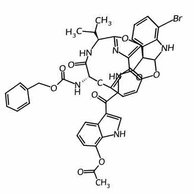 CC(=O)Oc1cccc2c(C(=O)CNC(=O)c3nc4oc3C35c6cc(ccc6OC3Nc3c(Br)cccc35)C[C@H](NC(=O)OCc3ccccc3)C(=O)N[C@H]4C(C)C)c[nH]c12